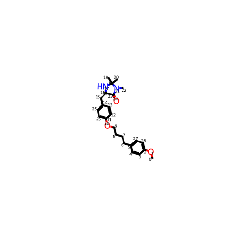 COc1ccc(CCCCOc2ccc(C[C@H]3NC(C)(C)N(C)C3=O)cc2)cc1